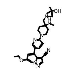 CCOc1cc(-c2ccc(N3CCC(CN4CC(C)(O)C4)(NC)CC3)nc2)c2c(C#N)cnn2c1